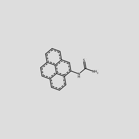 NC(=S)Nc1cc2cccc3ccc4cccc1c4c32